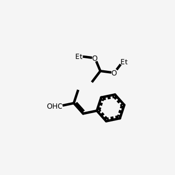 C/C(C=O)=C\c1ccccc1.CCOC(C)OCC